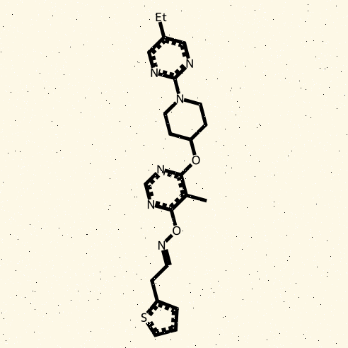 CCc1cnc(N2CCC(Oc3ncnc(ON=CCc4cccs4)c3C)CC2)nc1